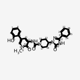 Cn1cc(-c2ccccc2O)cc(NC(=O)N2CCC(n3nc(-c4ccccc4)[nH]c3=O)CC2)c1=O